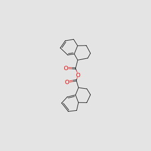 O=C(OC(=O)C1CCCC2CC=CC=C21)C1CCCC2CC=CC=C21